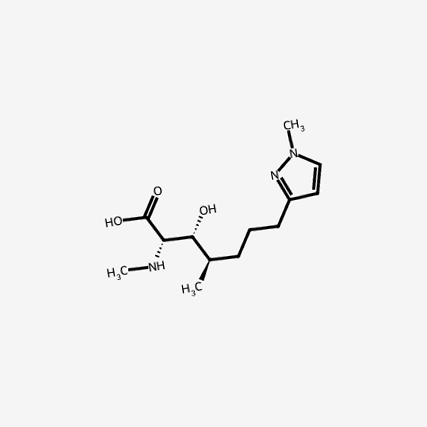 CN[C@H](C(=O)O)[C@H](O)[C@H](C)CCCc1ccn(C)n1